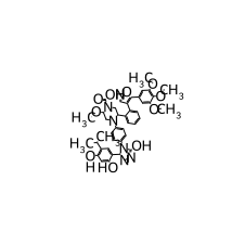 COc1cc(-c2oncc2-c2ccccc2C2CN(C(=O)O)C(OC)CN2c2ccc(-n3c(O)nnc3-c3cc(C(C)C)c(O)cc3O)cc2)cc(OC)c1OC